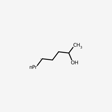 CCC[CH]CCC(C)O